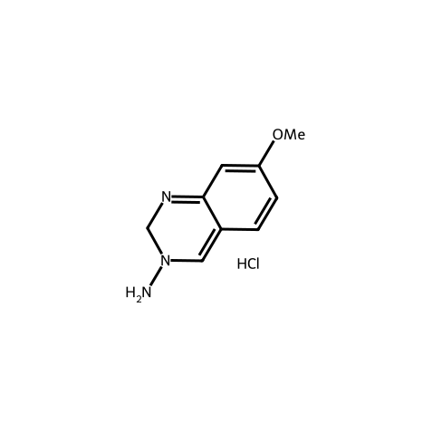 COc1ccc2c(c1)=NCN(N)C=2.Cl